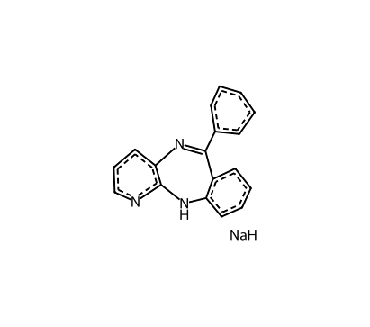 [NaH].c1ccc(C2=Nc3cccnc3Nc3ccccc32)cc1